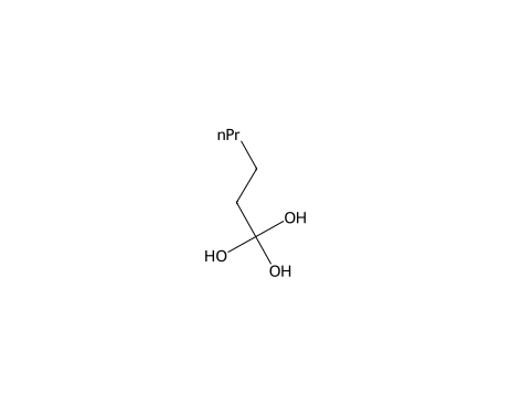 [CH2]CCCCC(O)(O)O